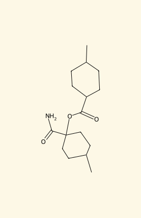 CC1CCC(C(=O)OC2(C(N)=O)CCC(C)CC2)CC1